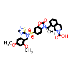 COc1ccc(CN(c2ncns2)S(=O)(=O)c2ccc3c(c2)oc(=O)n3[C@H](C)c2cccc3c2CN(C(=O)O)CC3)c(OC)c1